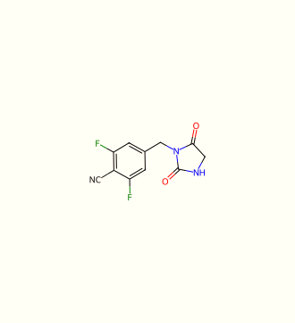 N#Cc1c(F)cc(CN2C(=O)CNC2=O)cc1F